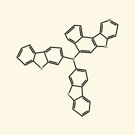 c1ccc2c(c1)sc1cc(N(c3ccc4c(c3)sc3ccccc34)c3cc4oc5ccncc5c4c4ccccc34)ccc12